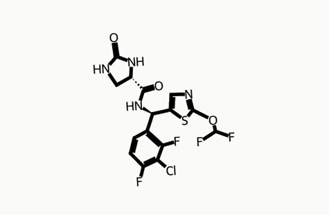 O=C1NC[C@@H](C(=O)N[C@@H](c2cnc(OC(F)F)s2)c2ccc(F)c(Cl)c2F)N1